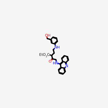 CCOC(=O)C(CCNc1cccc(CO)c1)C(=O)CNc1c2ccccc2nc2ccccc12